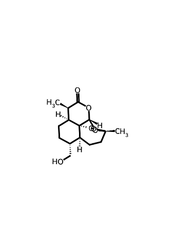 C[C@H]1C(=O)O[C@@H]2O[C@@]3(C)CC[C@H]4[C@H](CO)CC[C@@H]1[C@@]24OO3